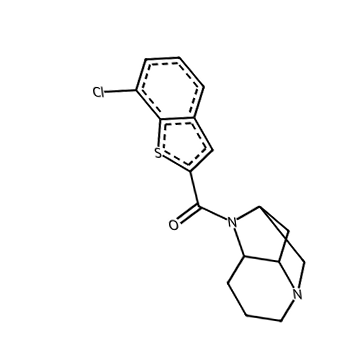 O=C(c1cc2cccc(Cl)c2s1)N1C2CC3C1CCCN3C2